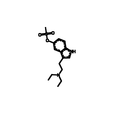 CCN(CC)CCc1c[nH]c2ccc(OS(C)(=O)=O)cc12